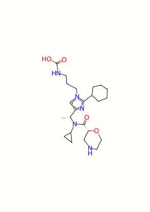 C[C@H](c1cn(CCCNC(=O)O)c(C2CCCCC2)n1)N(C(=O)[C@H]1CNCCO1)C1CC1